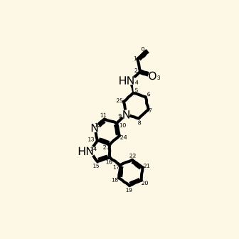 C=CC(=O)N[C@H]1CCCN(c2cnc3[nH]cc(-c4ccccc4)c3c2)C1